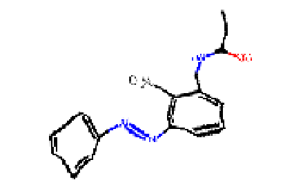 CC(O)Nc1cccc(N=Nc2ccccc2)c1[N+](=O)[O-]